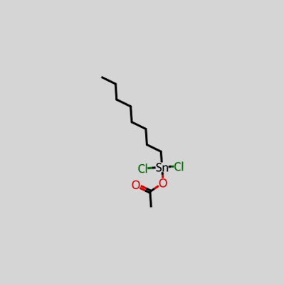 CCCCCCC[CH2][Sn]([Cl])([Cl])[O]C(C)=O